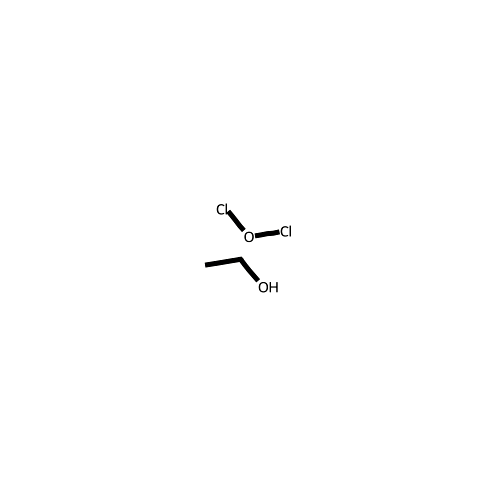 CCO.ClOCl